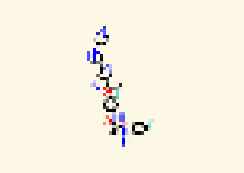 C=Nc1cc(-c2cnn(C3CCN(C)CC3)c2)ncc1/C(=C\C)Oc1ccc(NC(=O)C2(C(=O)Nc3ccc(F)cc3)CC2)cc1F